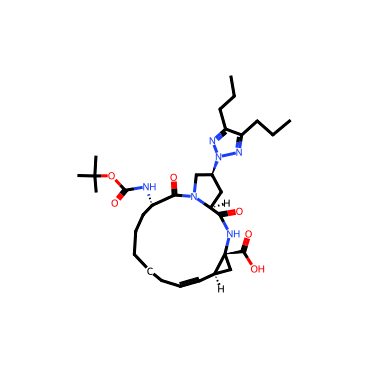 CCCc1nn([C@H]2C[C@H]3C(=O)N[C@]4(C(=O)O)C[C@H]4/C=C\CCCCC[C@H](NC(=O)OC(C)(C)C)C(=O)N3C2)nc1CCC